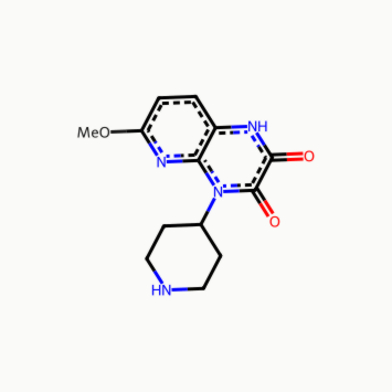 COc1ccc2[nH]c(=O)c(=O)n(C3CCNCC3)c2n1